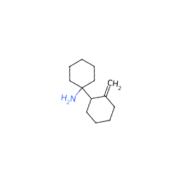 C=C1CCCCC1C1(N)CCCCC1